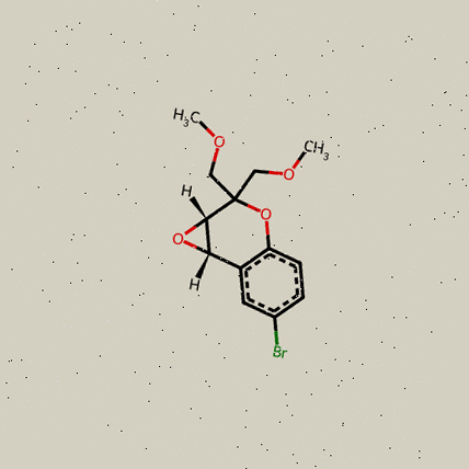 COCC1(COC)Oc2ccc(Br)cc2[C@@H]2O[C@@H]21